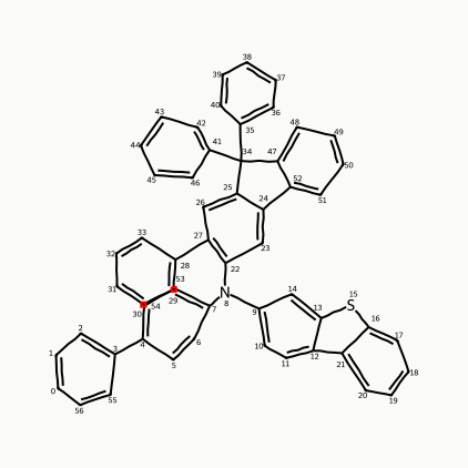 c1ccc(-c2ccc(N(c3ccc4c(c3)sc3ccccc34)c3cc4c(cc3-c3ccccc3)C(c3ccccc3)(c3ccccc3)c3ccccc3-4)cc2)cc1